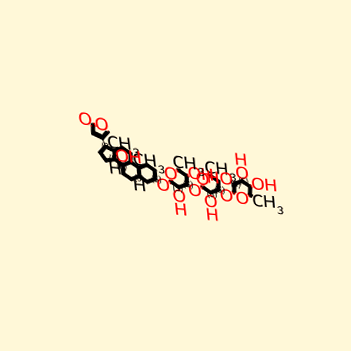 CC1C[C@H](OC2OC(C)C(O)[C@H](O)[C@@H]2O)[C@H](O)C(O[C@H]2C(O)C(C)OC(O[C@H]3CCC4(C)C5CCC6(C)[C@@H](C7=CC(=O)OC7)CC[C@]6(O)[C@@H]5CC[C@H]4C3)[C@H]2O)O1